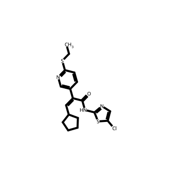 CCSc1ccc(C(=CC2CCCC2)C(=O)Nc2ncc(Cl)s2)cn1